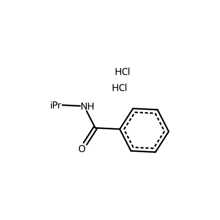 CC(C)NC(=O)c1ccccc1.Cl.Cl